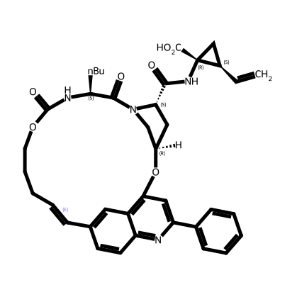 C=C[C@@H]1C[C@]1(NC(=O)[C@@H]1C[C@@H]2CN1C(=O)[C@H](CCCC)NC(=O)OCCC/C=C/c1ccc3nc(-c4ccccc4)cc(c3c1)O2)C(=O)O